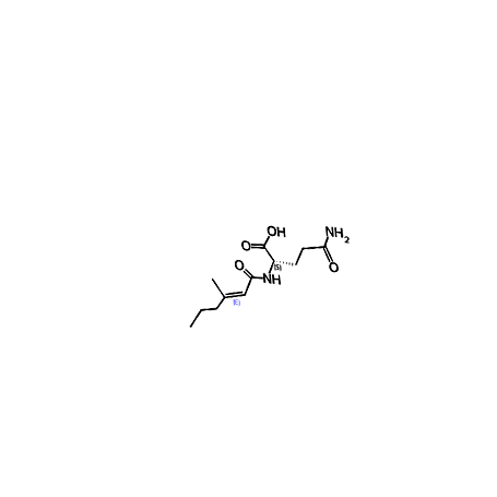 CCC/C(C)=C/C(=O)N[C@@H](CCC(N)=O)C(=O)O